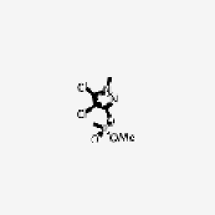 COP(C)(=O)Oc1nn(C)c(Cl)c1Cl